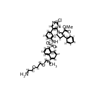 COC(=O)C1C(c2ccccc2)CCN1c1nc(Cl)ncc1-c1cccc(NS(=O)(=O)c2cccc3c(N(C)COCCOCCN)cccc23)c1